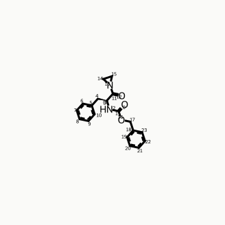 O=C(N[C@@H](Cc1ccccc1)C(=O)N1CC1)OCc1ccccc1